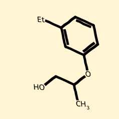 CCc1cccc(OC(C)CO)c1